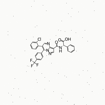 O=C(N[C@H](C(=O)O)c1ccccc1)c1cnn2c(-c3ccc(C(F)(F)F)cc3)c(-c3ccccc3Cl)cnc12